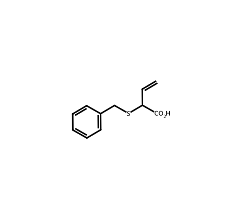 C=CC(SCc1ccccc1)C(=O)O